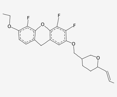 C/C=C/C1CCC(COc2cc3c(c(F)c2F)Oc2c(ccc(OCC)c2F)C3)CO1